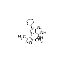 Cc1noc(C)c1-c1cn(-c2ccccc2)c2c1C(O)NC=N2